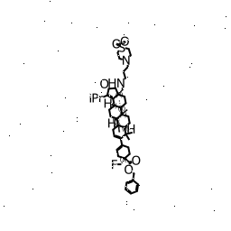 CC(C)C1=C2[C@H]3CC[C@@H]4[C@@]5(C)CC=C(C6=CC[C@](CF)(C(=O)OCc7ccccc7)CC6)C(C)(C)[C@@H]5CC[C@@]4(C)[C@]3(C)CC[C@@]2(CNCCCN2CCS(=O)(=O)CC2)CC1=O